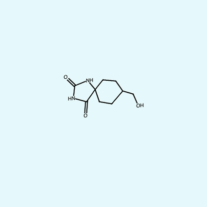 O=C1NC(=O)C2(CCC(CO)CC2)N1